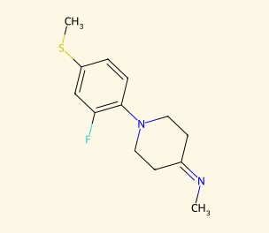 CN=C1CCN(c2ccc(SC)cc2F)CC1